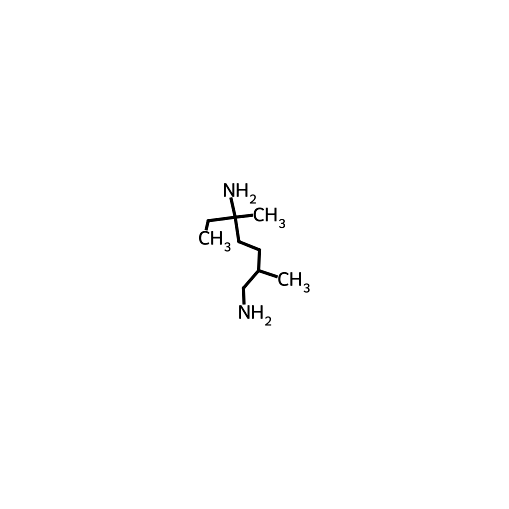 CCC(C)(N)CCC(C)CN